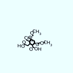 CCc1c(OCOC)cc(OCOC)c(C(=O)O)c1CC(=O)O